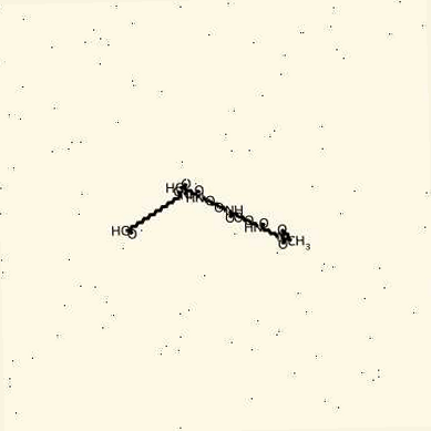 CC1CC(=O)N(CCCCCC(=O)NCCOCCOCC(=O)NCCOCCOCCNC(=O)CCC(NC(=O)CCCCCCCCCCCCCCCCC(=O)O)C(=O)O)C1=O